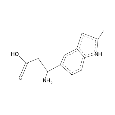 Cc1cc2cc(C(N)CC(=O)O)ccc2[nH]1